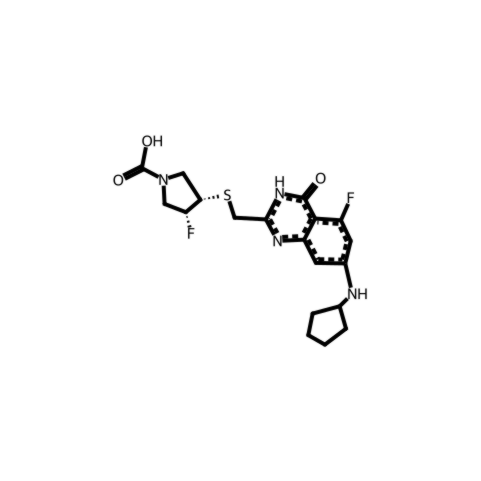 O=C(O)N1C[C@@H](F)[C@@H](SCc2nc3cc(NC4CCCC4)cc(F)c3c(=O)[nH]2)C1